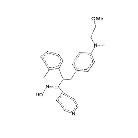 COCCN(C)c1ccc(CC(C(=NO)c2ccncc2)c2ccccc2C)cc1